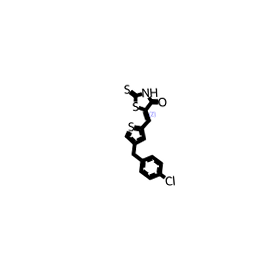 O=C1NC(=S)S/C1=C\c1cc(Cc2ccc(Cl)cc2)cs1